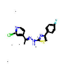 C/C(=N\Nc1nc(-c2ccc(F)cc2)cs1)c1ccnc(Cl)c1